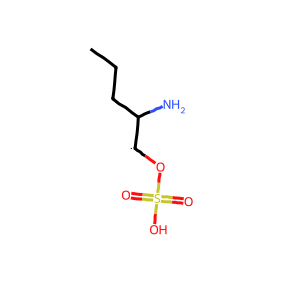 CCCC(N)[CH]OS(=O)(=O)O